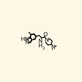 Cc1cc(CC(N)C(=O)N2CCC(N(C)C)CC2)cc2cn[nH]c12